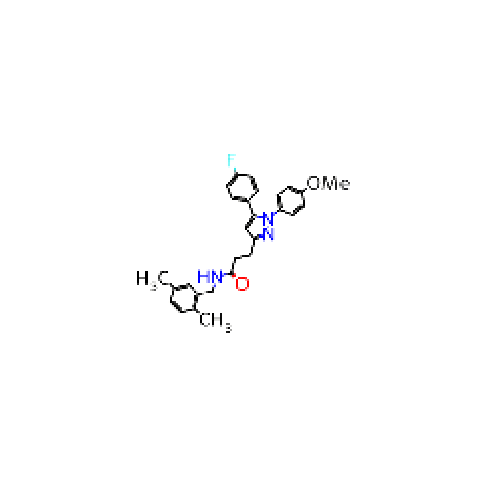 COc1ccc(-n2nc(CCC(=O)NCc3cc(C)ccc3C)cc2-c2ccc(F)cc2)cc1